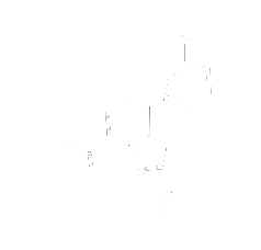 C=Cc1cc2c(-c3cccc(N)c3)ccc(C(N)=O)c2[nH]1